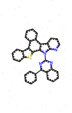 c1ccc(-c2nc(-n3c4ncccc4c4c5ccccc5c5c6ccccc6sc5c43)nc3ccccc23)cc1